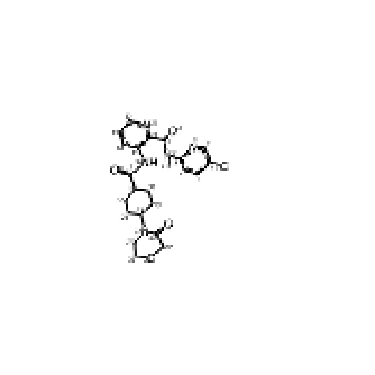 O=C(Nc1ccc(Cl)cn1)c1ncccc1NC(=O)C1CCC(N2CCOCC2=O)CC1